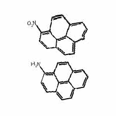 Nc1ccc2ccc3cccc4ccc1c2c34.O=[N+]([O-])c1ccc2ccc3cccc4ccc1c2c34